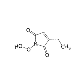 CCC1=CC(=O)N(OO)C1=O